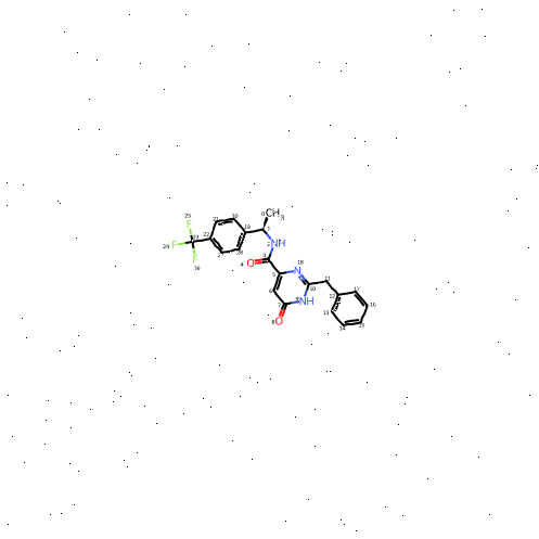 C[C@@H](NC(=O)c1cc(=O)[nH]c(Cc2ccccc2)n1)c1ccc(C(F)(F)F)cc1